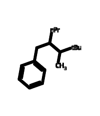 CCCC(Cc1ccccc1)C(C)C(C)(C)C